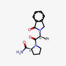 CC(C)[C@@H](C(=O)N1CCC[C@H]1C(N)=O)N1Cc2ccccc2C1=O